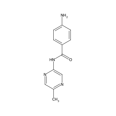 Cc1cnc(NC(=O)c2ccc(N)cc2)cn1